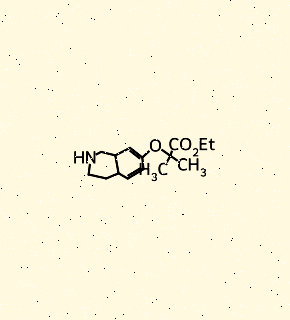 CCOC(=O)C(C)(C)OC1=CC2CNCCC2C=C1